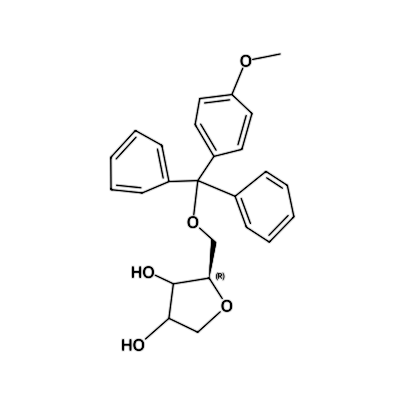 COc1ccc(C(OC[C@H]2OCC(O)C2O)(c2ccccc2)c2ccccc2)cc1